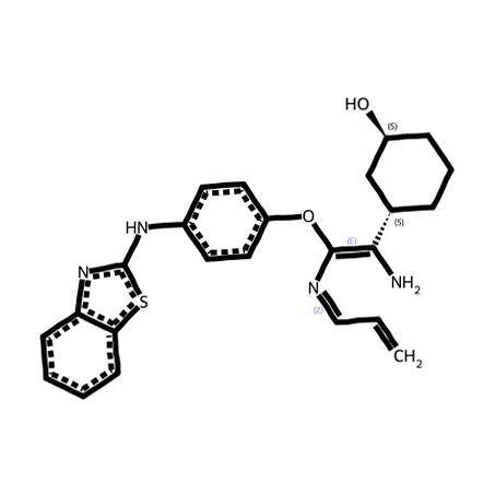 C=C/C=N\C(Oc1ccc(Nc2nc3ccccc3s2)cc1)=C(/N)[C@H]1CCC[C@H](O)C1